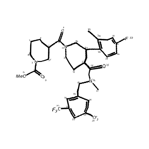 COC(=O)N1CCCC(C(=O)N2CCC(C(=O)N(C)Cc3cc(C(F)(F)F)cc(C(F)(F)F)c3)C(c3ccc(F)cc3C)C2)C1